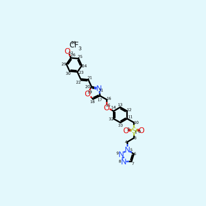 O=S(=O)(CCn1ccnn1)Cc1ccc(OCc2coc(/C=C/c3ccc(OC(F)(F)F)cc3)n2)cc1